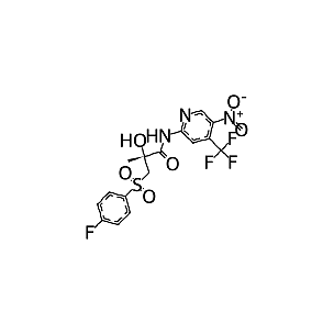 C[C@](O)(CS(=O)(=O)c1ccc(F)cc1)C(=O)Nc1cc(C(F)(F)F)c([N+](=O)[O-])cn1